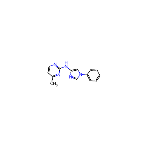 Cc1ccnc(Nc2cn(-c3ccccc3)cn2)n1